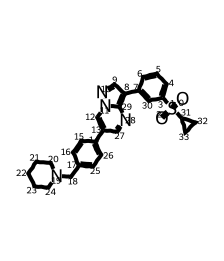 O=S(=O)(c1cccc(-c2cnn3cc(-c4ccc(CN5CCCCC5)cc4)cnc23)c1)C1CC1